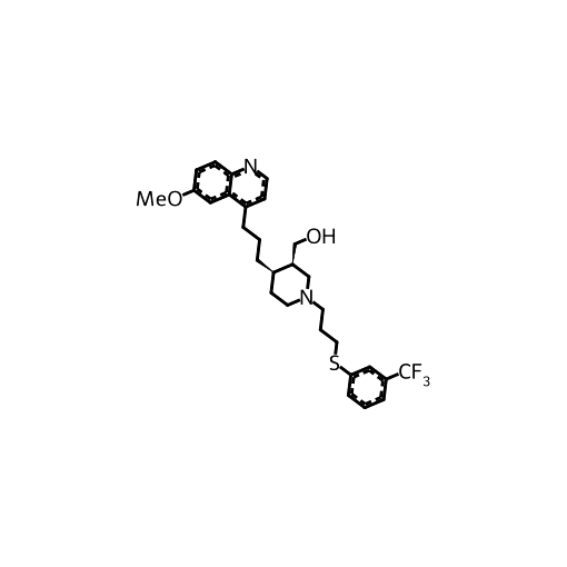 COc1ccc2nccc(CCC[C@@H]3CCN(CCCSc4cccc(C(F)(F)F)c4)C[C@@H]3CO)c2c1